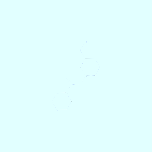 O=[PH](ON1CCOC(CO)C1)N1CCNCC1